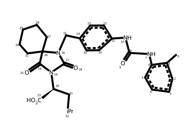 Cc1ccccc1NC(=O)Nc1ccc(CN2C(=O)N([C@@H](CC(C)C)C(=O)O)C(=O)C23CCCCC3)cc1